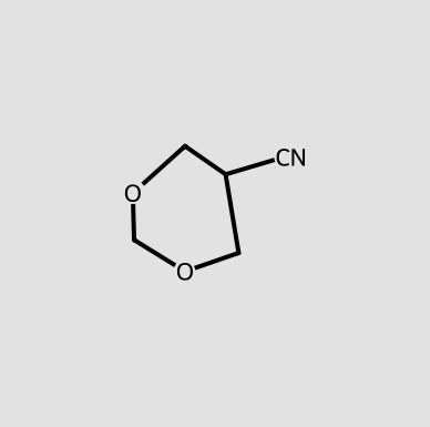 N#CC1COCOC1